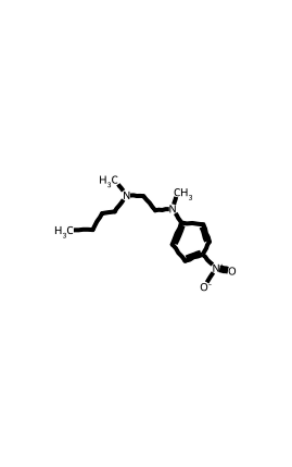 CCCCN(C)CCN(C)c1ccc([N+](=O)[O-])cc1